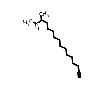 [C]#CCCCCCCCCCCCC(C)NC